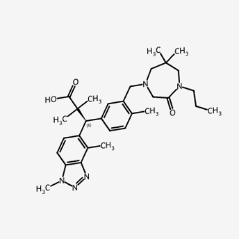 CCCN1CC(C)(C)CN(Cc2cc([C@@H](c3ccc4c(nnn4C)c3C)C(C)(C)C(=O)O)ccc2C)CC1=O